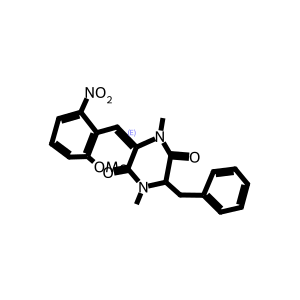 COc1cccc([N+](=O)[O-])c1/C=C1\C(=O)N(C)C(Cc2ccccc2)C(=O)N1C